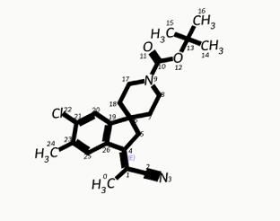 C/C(C#N)=C1/CC2(CCN(C(=O)OC(C)(C)C)CC2)c2cc(Cl)c(C)cc21